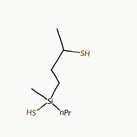 CCC[Si](C)(S)CCC(C)S